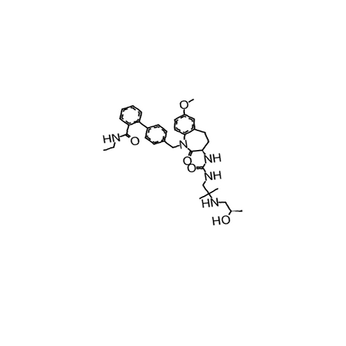 CCNC(=O)c1ccccc1-c1ccc(CN2C(=O)[C@H](NC(=O)NCC(C)(C)NC[C@@H](C)O)CCc3cc(OC)ccc32)cc1